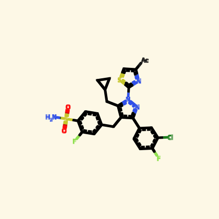 CC(=O)c1csc(-n2nc(-c3ccc(F)c(Cl)c3)c(Cc3ccc(S(N)(=O)=O)c(F)c3)c2CC2CC2)n1